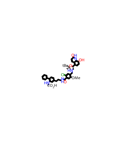 COc1cc(C(=O)NCCCc2ccc(-c3ccccc3)c(NC(=O)O)c2)c(Cl)cc1CNC[C@@H](O[Si](C)(C)C(C)(C)C)c1ccc(O)c2[nH]c(=O)ccc12